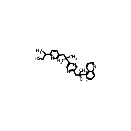 CC(CS)c1ccc(CC(C)(C)c2cnc(CC(C)(C)c3cccc4ncccc34)cn2)cn1